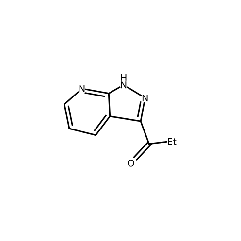 CCC(=O)c1n[nH]c2ncccc12